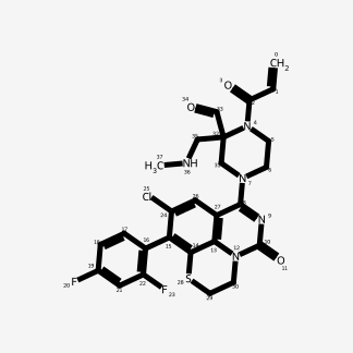 C=CC(=O)N1CCN(c2nc(=O)n3c4c(c(-c5ccc(F)cc5F)c(Cl)cc24)SCC3)CC1(C=O)CNC